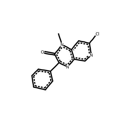 Cn1c(=O)c(-c2ccccc2)nc2cnc(Cl)cc21